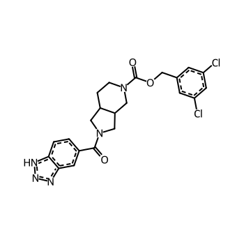 O=C(OCc1cc(Cl)cc(Cl)c1)N1CCC2CN(C(=O)c3ccc4[nH]nnc4c3)CC2C1